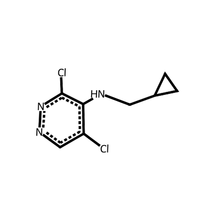 Clc1cnnc(Cl)c1NCC1CC1